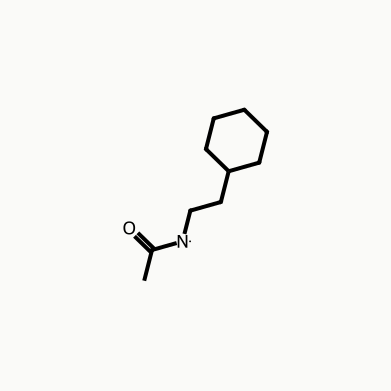 CC(=O)[N]CCC1CCCCC1